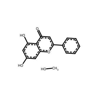 CO.O=c1cc(-c2ccccc2)oc2cc(O)cc(O)c12